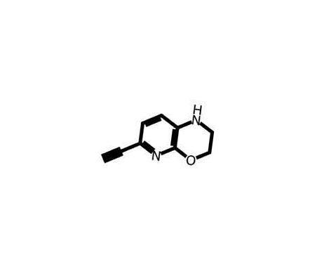 C#Cc1ccc2c(n1)OCCN2